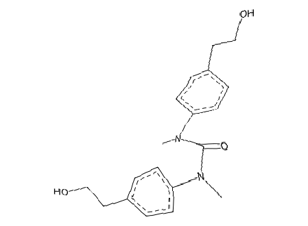 CN(C(=O)N(C)c1ccc(CCO)cc1)c1ccc(CCO)cc1